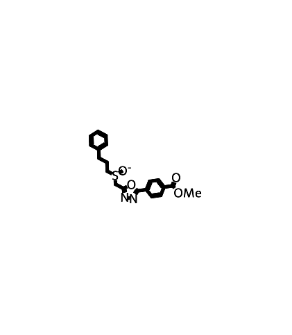 COC(=O)c1ccc(-c2nnc(C[S+]([O-])CCCc3ccccc3)o2)cc1